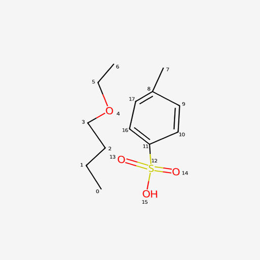 CCCCOCC.Cc1ccc(S(=O)(=O)O)cc1